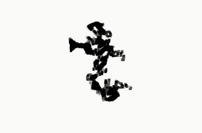 Cc1ccnc([C@H]2C[C@@H]2C(=O)Nc2cc(N(C)Cc3cn4cc(C5CC5)nc(N5CCCC5=O)c4n3)ncn2)n1